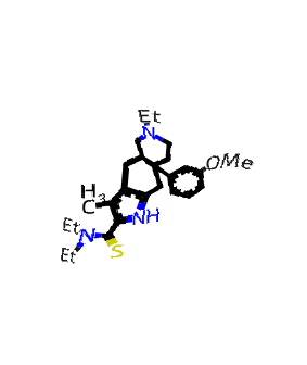 CCN1CCC2(c3cccc(OC)c3)Cc3[nH]c(C(=S)N(CC)CC)c(C)c3CC2C1